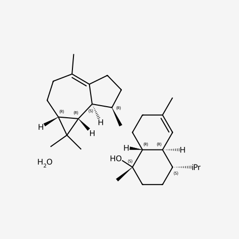 CC1=C2CC[C@@H](C)[C@H]2[C@H]2[C@@H](CC1)C2(C)C.CC1=C[C@@H]2[C@@H](CC1)[C@@](C)(O)CC[C@H]2C(C)C.O